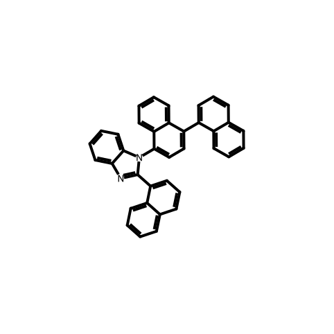 c1ccc2c(-c3ccc(-n4c(-c5cccc6ccccc56)nc5ccccc54)c4ccccc34)cccc2c1